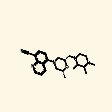 CC1C(C)N(C[C@H]2CN(c3ccc(C#N)c4ncccc34)C[C@@H](C)O2)CCN1C